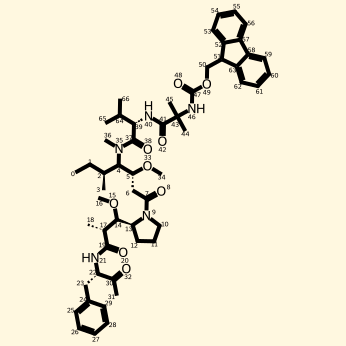 CC[C@H](C)C([C@@H](CC(=O)N1CCC[C@H]1C(OC)[C@@H](C)C(=O)N[C@@H](Cc1ccccc1)C(C)=O)OC)N(C)C(=O)[C@@H](NC(=O)C(C)(C)NC(=O)OCC1c2ccccc2-c2ccccc21)C(C)C